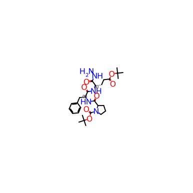 CC(C)(C)OC(=O)CC[C@H](NC(=O)[C@H](Cc1ccccc1)NC(=O)C1CCCN1C(=O)OC(C)(C)C)C(=O)NN